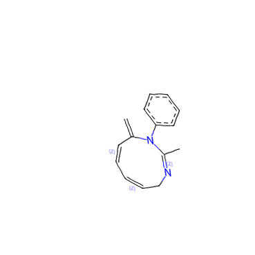 C=C1/C=C\C=C/C/N=C(/C)N1c1ccccc1